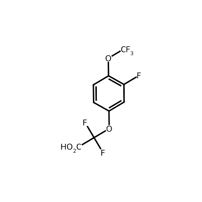 O=C(O)C(F)(F)Oc1ccc(OC(F)(F)F)c(F)c1